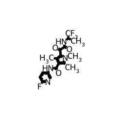 Cc1c(C(=O)Nc2ccc(F)nc2)c(C)n(C)c1C(=O)C(=O)NC(C)C(F)(F)F